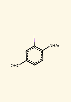 CC(=O)Nc1ccc(C=O)cc1I